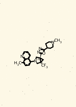 Cc1ccc(N2C[C@]3(c4nnc(C5CCN(C)CC5)o4)C[C@]3(C(F)(F)F)C2)c2cccnc12